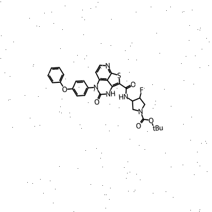 CC(C)(C)OC(=O)N1CC(F)C(NC(=O)c2sc3nccc4c3c2NC(=O)N4c2ccc(Oc3ccccc3)cc2)C1